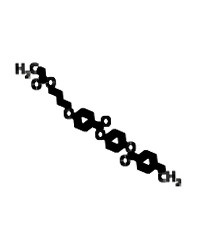 C=CC(=O)OCCCCOc1ccc(C(=O)Oc2ccc(OC(=O)c3ccc(C=C)cc3)cc2)cc1